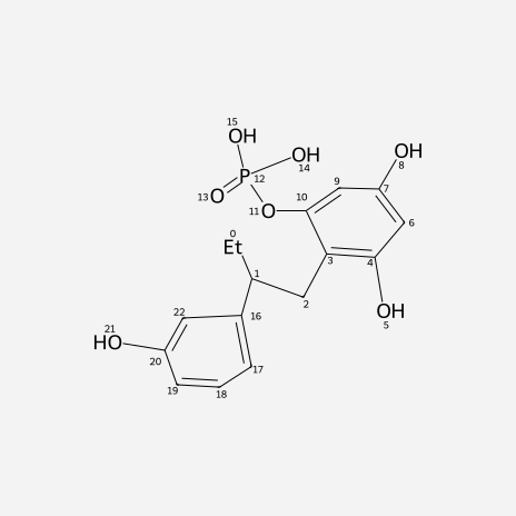 CCC(Cc1c(O)cc(O)cc1OP(=O)(O)O)c1cccc(O)c1